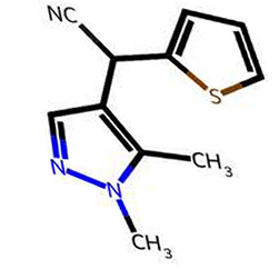 Cc1c(C(C#N)c2cccs2)cnn1C